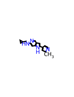 Cc1cc(-c2cc3cnc(NCC4CC4)cc3[nH]2)ccn1